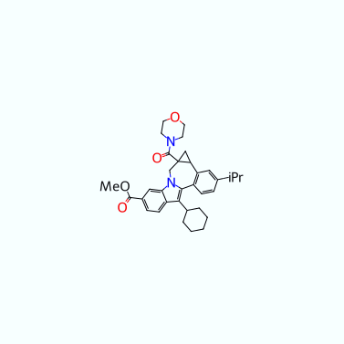 COC(=O)c1ccc2c(C3CCCCC3)c3n(c2c1)CC1(C(=O)N2CCOCC2)CC1c1cc(C(C)C)ccc1-3